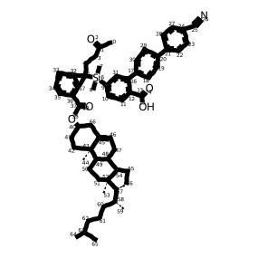 CC(=O)CCC1([Si](C)(C)c2ccc(C(=O)O)c(-c3ccc(-c4ccc(C#N)cc4)cc3)c2)c2cccc(C(=O)OC3CC[C@@]4(C)C(=CCC5C4CC[C@@]4(C)C5CC[C@@H]4[C@H](C)CCCC(C)C)C3)c21